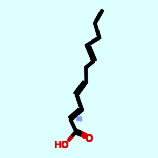 CCCC=CCC=C/C=C/C(=O)O